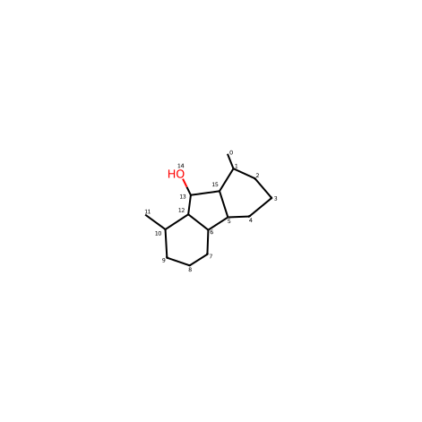 CC1CCCC2C3CCCC(C)C3C(O)C12